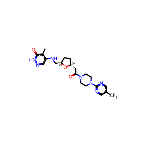 Cc1c(NC[C@H]2CC[C@H](CC(=O)N3CCN(c4ncc(C(F)(F)F)cn4)CC3)O2)cn[nH]c1=O